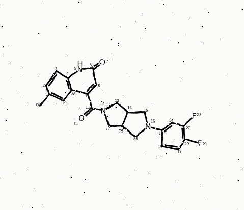 Cc1ccc2[nH]c(=O)cc(C(=O)N3CC4CN(c5ccc(F)c(F)c5)CC4C3)c2c1